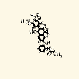 C=CC(=O)Nc1ccccc1Nc1ccc2c(c1)C1(CC1)C(=O)C(c1c(F)c(OC)nc(OC)c1F)C2O